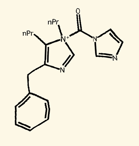 CCCC1=C(Cc2ccccc2)N=C[N+]1(CCC)C(=O)n1ccnc1